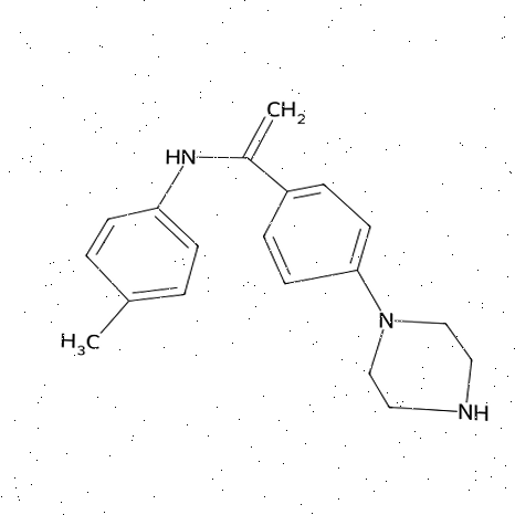 C=C(Nc1ccc(C)cc1)c1ccc(N2CCNCC2)cc1